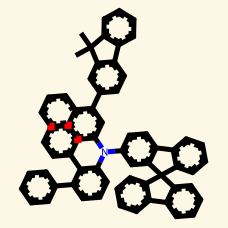 CC1(C)c2ccccc2-c2ccc(-c3cc(N(c4ccc5c(c4)C4(c6ccccc6-c6ccccc64)c4ccccc4-5)c4cccc(-c5ccccc5)c4-c4ccccc4)cc4ccccc34)cc21